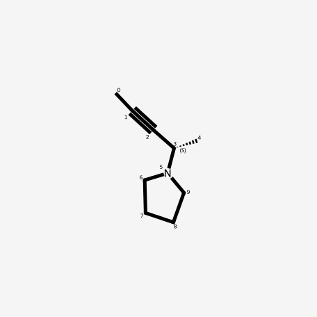 CC#C[C@H](C)N1CCCC1